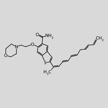 C=C/C=C/C/C=C/C=C/C=C(/C)c1cc2cc(C(N)=O)c(OCCN3CCOCC3)cc2s1